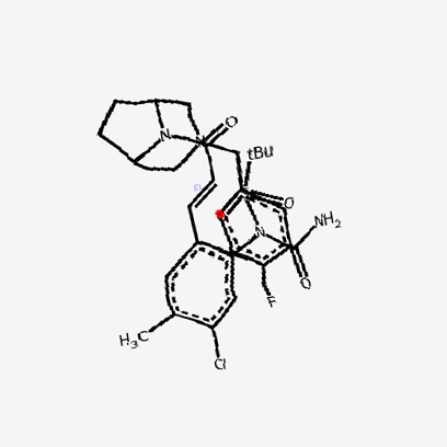 Cc1cc(/C=C/C(=O)N2C3CCC2CN(Cc2ccc(F)cc2)C3)c(N(C(N)=O)S(=O)(=O)C(C)(C)C)cc1Cl